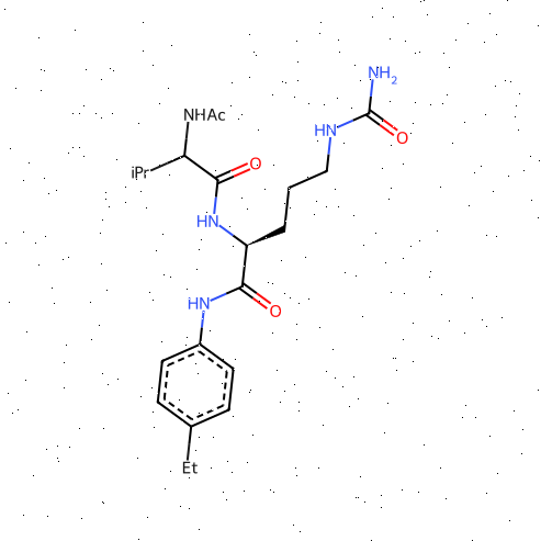 CCc1ccc(NC(=O)[C@H](CCCNC(N)=O)NC(=O)C(NC(C)=O)C(C)C)cc1